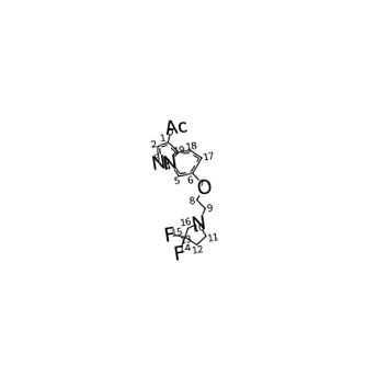 CC(=O)c1cnn2cc(OCCN3CCC(F)(F)C3)ccc12